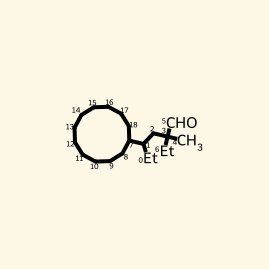 CCC(CC(C)(C=O)CC)C1CCCCCCCCCCC1